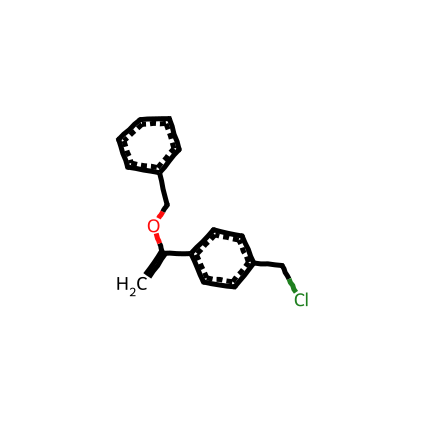 C=C(OCc1ccccc1)c1ccc(CCl)cc1